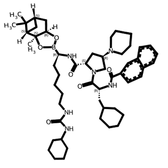 CC1(C)[C@@H]2C[C@H]3OB([C@H](CCCCCNC(=O)NC4CCCCC4)NC(=O)[C@@H]4C[C@@H](N5CCCCC5)CN4C(=O)[C@@H](CC4CCCCC4)NC(=O)c4ccc5ccccc5c4)O[C@@]3(C)[C@H]1C2